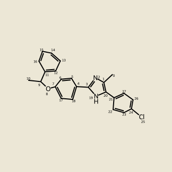 Cc1nc(-c2ccc(OC(C)c3ccccc3)cc2)[nH]c1-c1ccc(Cl)cc1